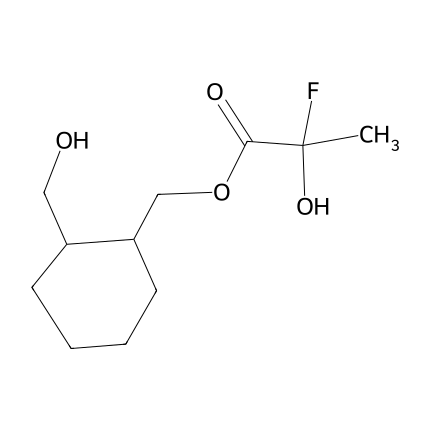 CC(O)(F)C(=O)OCC1CCCCC1CO